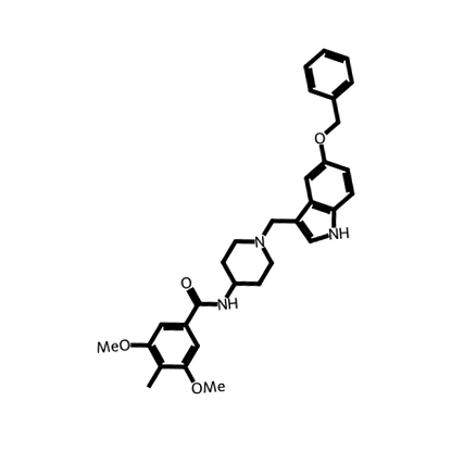 COc1cc(C(=O)NC2CCN(Cc3c[nH]c4ccc(OCc5ccccc5)cc34)CC2)cc(OC)c1C